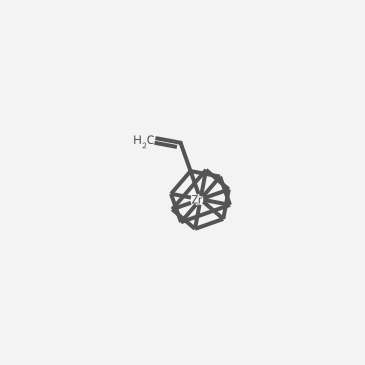 C=C[C]12[CH]3[CH]4[CH]5[CH]1[Zr]45321678[CH]2[CH]1[CH]6[CH]7[CH]28